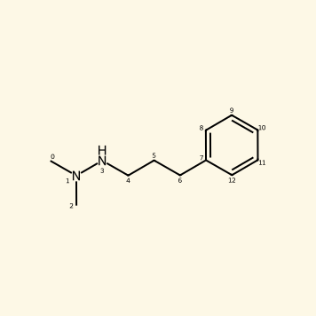 CN(C)NCCCc1ccccc1